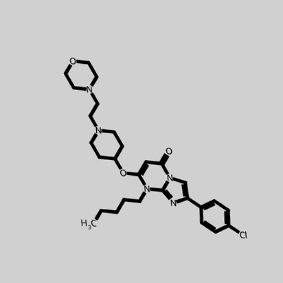 CCCCCn1c(OC2CCN(CCN3CCOCC3)CC2)cc(=O)n2cc(-c3ccc(Cl)cc3)nc12